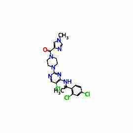 C[C@@H](Nc1nc(N2CCN(C(=O)c3cn(C)cn3)CC2)ncc1Cl)c1ccc(Cl)cc1Cl